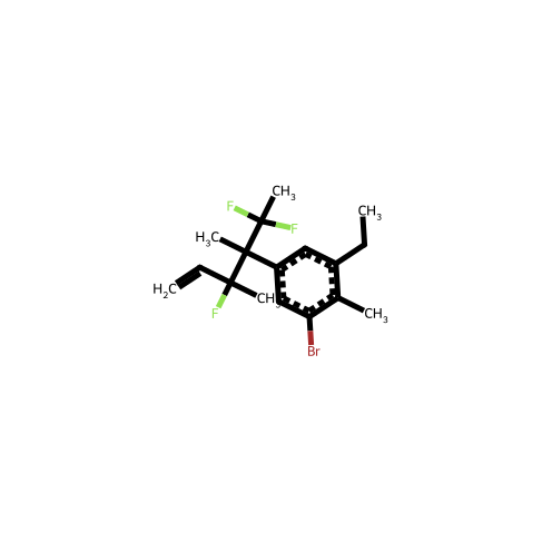 C=CC(C)(F)C(C)(c1cc(Br)c(C)c(CC)c1)C(C)(F)F